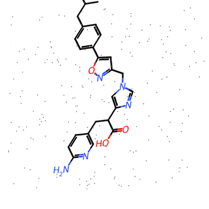 CC(C)Cc1ccc(-c2cc(Cn3cnc(C(Cc4ccc(N)nc4)C(=O)O)c3)no2)cc1